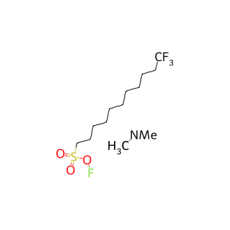 CNC.O=S(=O)(CCCCCCCCCCC(F)(F)F)OF